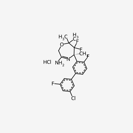 CC1(C)OCC(N)=N[C@](C)(c2cc(-c3cc(F)cc(Cl)c3)ccc2F)C1(F)F.Cl